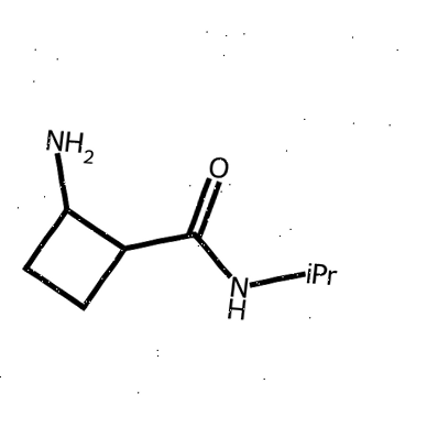 CC(C)NC(=O)C1CCC1N